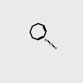 C1=CCCCCC=C1.[Br][Pd][Br]